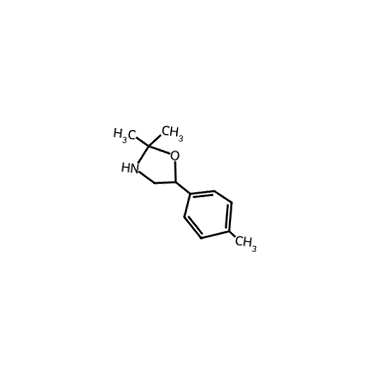 Cc1ccc(C2CNC(C)(C)O2)cc1